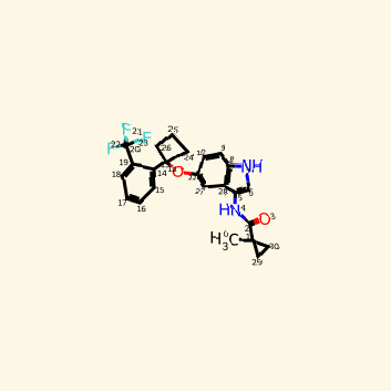 CC1(C(=O)Nc2c[nH]c3ccc(OC4(c5ccccc5C(F)(F)F)CCC4)cc23)CC1